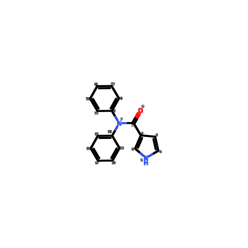 O=C(c1cc[nH]c1)N(c1ccccc1)c1ccccc1